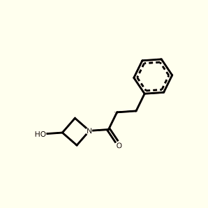 O=C([CH]Cc1ccccc1)N1CC(O)C1